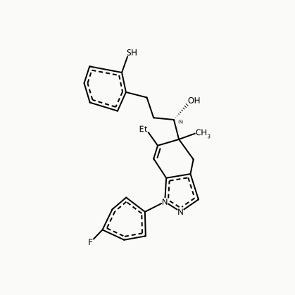 CCC1=Cc2c(cnn2-c2ccc(F)cc2)CC1(C)[C@@H](O)CCc1ccccc1S